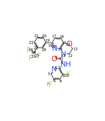 O=C(Nc1ncc(F)cc1F)N1CCOc2ccc(-c3cccc(C(F)(F)F)c3)nc21